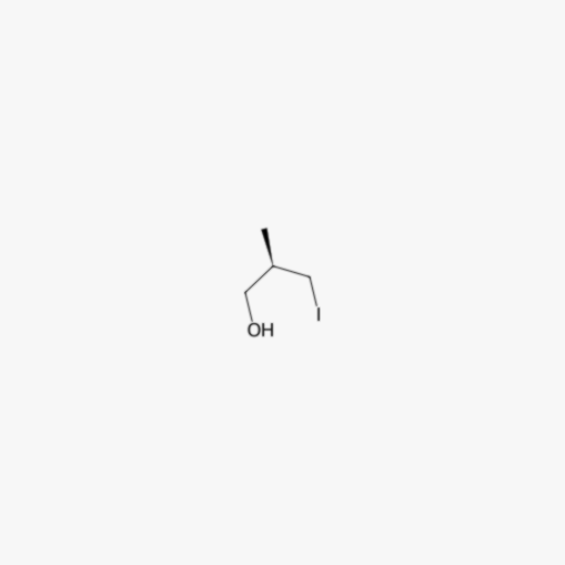 C[C@H](CO)CI